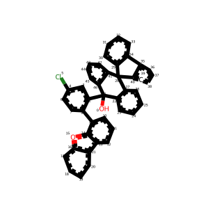 OC1(c2cc(Cl)ccc2-c2cccc3c2oc2ccccc23)c2ccccc2C2(c3ccccc3-c3ccccc32)c2ccccc21